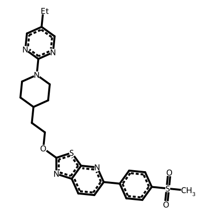 CCc1cnc(N2CCC(CCOc3nc4ccc(-c5ccc(S(C)(=O)=O)cc5)nc4s3)CC2)nc1